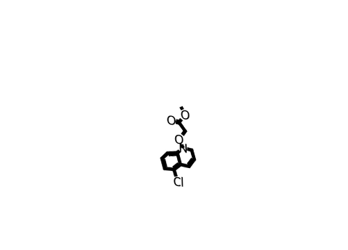 COC(=O)CON1CC=Cc2c(Cl)cccc21